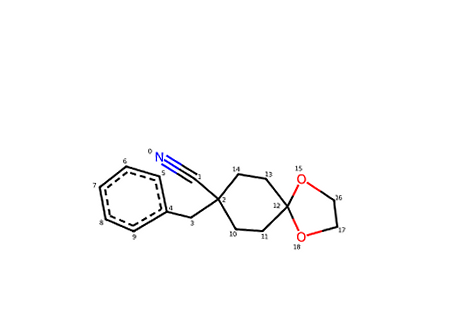 N#CC1(Cc2ccccc2)CCC2(CC1)OCCO2